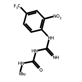 CC(C)(C)NC(=O)NC(=N)Nc1ccc(C(F)(F)F)cc1[N+](=O)[O-]